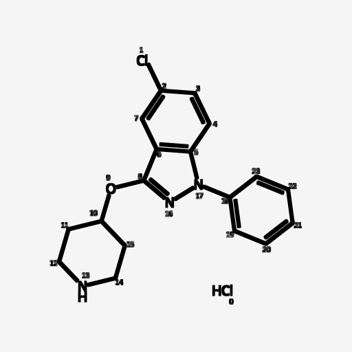 Cl.Clc1ccc2c(c1)c(OC1CCNCC1)nn2-c1ccccc1